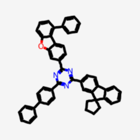 c1ccc(-c2ccc(-c3nc(-c4ccc5c(c4)C4(CCCC4)c4ccccc4-5)nc(-c4ccc5c(c4)oc4cccc(-c6ccccc6)c45)n3)cc2)cc1